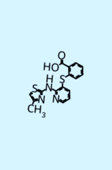 Cc1csc(Nc2ncccc2Sc2ccccc2C(=O)O)n1